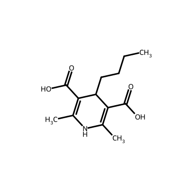 CCCCC1C(C(=O)O)=C(C)NC(C)=C1C(=O)O